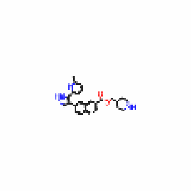 C=c1ccc(-c2cn[nH]c2-c2cccc(C)n2)c/c1=C/C(=C\C)C(=O)OCC1CCNCC1